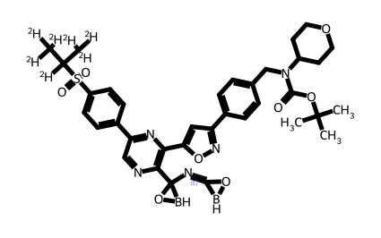 [2H]C([2H])([2H])C([2H])(C([2H])([2H])[2H])S(=O)(=O)c1ccc(-c2cnc(C3(/N=C4\BO4)BO3)c(-c3cc(-c4ccc(CN(C(=O)OC(C)(C)C)C5CCOCC5)cc4)no3)n2)cc1